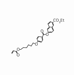 C=CC(=O)OCCCCCCOc1ccc(C(=O)Oc2ccc3cc(C(=O)OCC)ccc3c2)cc1